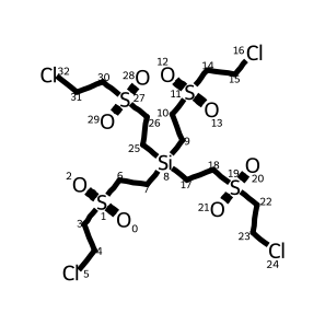 O=S(=O)(CCCl)CC[Si](CCS(=O)(=O)CCCl)(CCS(=O)(=O)CCCl)CCS(=O)(=O)CCCl